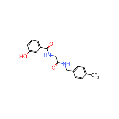 O=C(CNC(=O)c1cccc(O)c1)NCc1ccc(C(F)(F)F)cc1